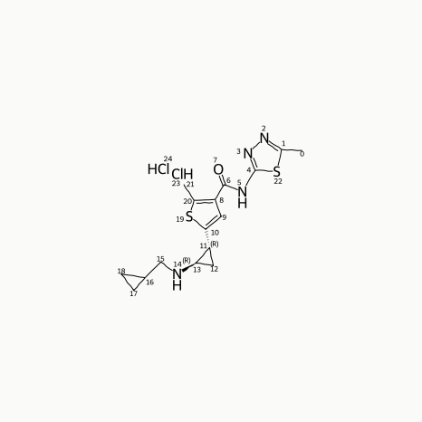 Cc1nnc(NC(=O)c2cc([C@@H]3C[C@H]3NCC3CC3)sc2C)s1.Cl.Cl